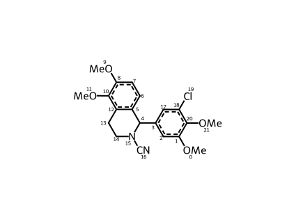 COc1cc(C2c3ccc(OC)c(OC)c3CCN2C#N)cc(Cl)c1OC